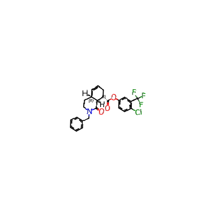 O=C(Oc1ccc(Cl)c(C(F)(F)F)c1)[C@H]1CC=C[C@H]2CCN(Cc3ccccc3)C(=O)[C@@H]12